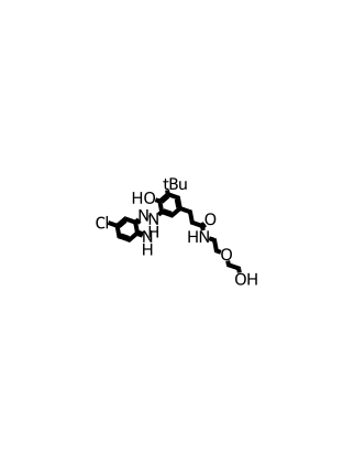 CC(C)(C)c1cc(CCC(=O)NCCOCCO)cc(N/N=C2/C=C(Cl)C=CC2=N)c1O